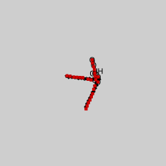 CCCCCCCCCCCCCCCCCCOC1COC(COC(=O)NCCCOCCOC)C1OCCCCCCCCCCCCCCCCCC